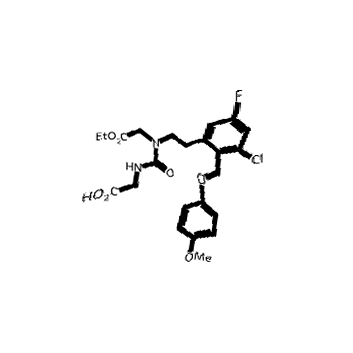 CCOC(=O)CN(CCc1cc(F)cc(Cl)c1COc1ccc(OC)cc1)C(=O)NCC(=O)O